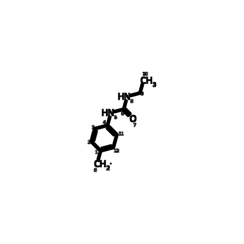 [CH2]c1ccc(NC(=O)NCC)cc1